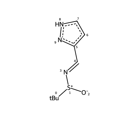 CC(C)(C)[S+]([O-])/N=C/c1cc[nH]n1